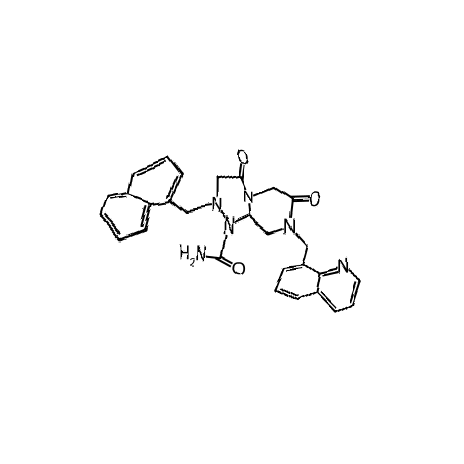 NC(=O)N1C2CN(Cc3cccc4cccnc34)C(=O)CN2C(=O)CN1Cc1cccc2ccccc12